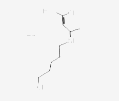 Br.CCCCCCNC(C)C=C(C)C